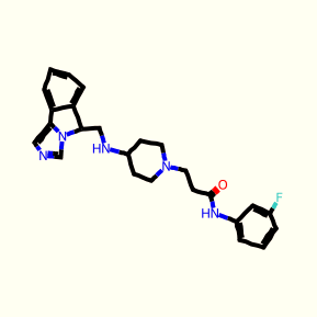 O=C(CCN1CCC(NCC2c3ccccc3-c3cncn32)CC1)Nc1cccc(F)c1